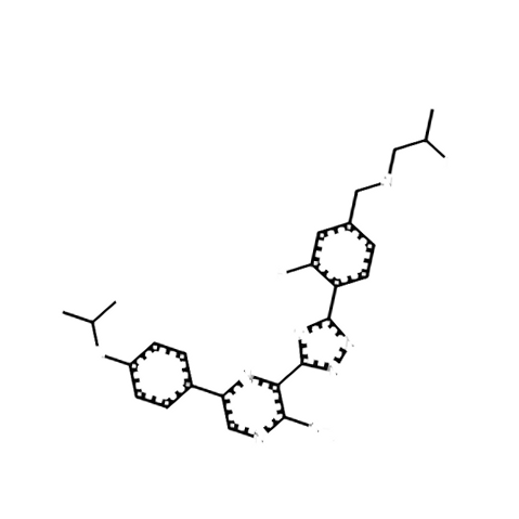 CC(F)CNCc1ccc(-c2nnc(-c3nc(-c4ccc(SC(C)C)cc4)cnc3N)o2)c(F)c1